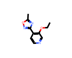 CCOc1cnccc1-c1noc(C)n1